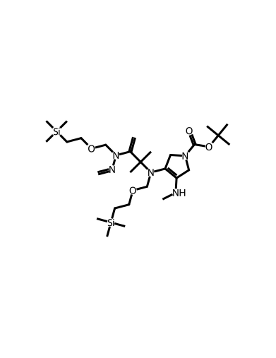 C=NN(COCC[Si](C)(C)C)C(=C)C(C)(C)N(COCC[Si](C)(C)C)C1=C(NC)CN(C(=O)OC(C)(C)C)C1